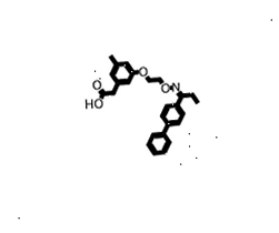 CCC(=NOCCOc1cc(C)cc(CC(=O)O)c1)c1ccc(-c2ccccc2)cc1